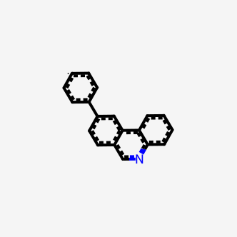 [c]1ccc(-c2ccc3cnc4ccccc4c3c2)cc1